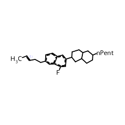 C/C=C/CCc1ccc2cc(C3CCC4CC(CCCCC)CCC4C3)cc(F)c2c1